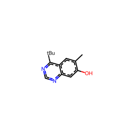 Cc1cc2c(C(C)(C)C)ncnc2cc1O